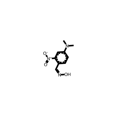 CN(C)c1ccc(/C=N\O)c([N+](=O)[O-])c1